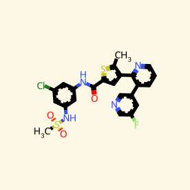 Cc1sc(C(=O)Nc2cc(Cl)cc(NS(C)(=O)=O)c2)cc1-c1ncccc1-c1cncc(F)c1